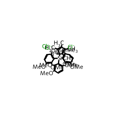 COc1ccc(OC)c([Si](c2c(OC)ccc(OC)c2OC)(c2c(OC)ccc(OC)c2OC)[C]2([Ti+3])C(C)=C(C)C(C)=C2C)c1OC.[Cl-].[Cl-].[Cl-]